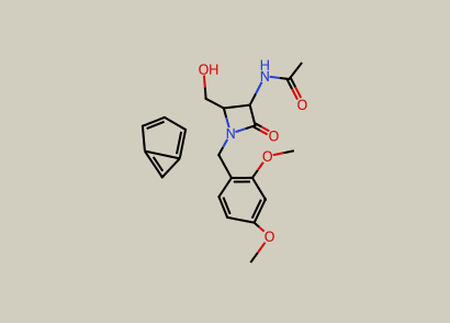 COc1ccc(CN2C(=O)C(NC(C)=O)C2CO)c(OC)c1.c1cc2cc-2c1